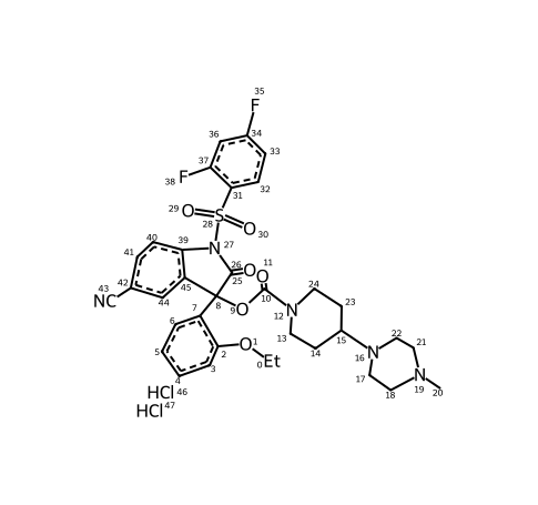 CCOc1ccccc1C1(OC(=O)N2CCC(N3CCN(C)CC3)CC2)C(=O)N(S(=O)(=O)c2ccc(F)cc2F)c2ccc(C#N)cc21.Cl.Cl